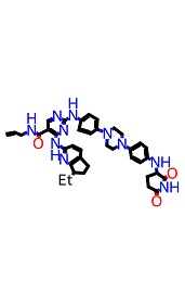 C=CCNC(=O)c1cnc(Nc2ccc(N3CCN(c4ccc(NC5CCC(=O)NC5=O)cc4)CC3)cc2)nc1Nc1ccc2c(n1)C(CC)CC2